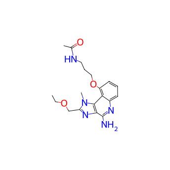 CCOCc1nc2c(N)nc3cccc(OCCCNC(C)=O)c3c2n1C